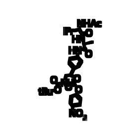 CC(=O)N[C@H](C(=O)N[C@@H](C)C(=O)Nc1ccc(C(CNC(=O)OC(C)(C)C)OC(=O)Oc2ccc([N+](=O)[O-])cc2)cc1)C(C)C